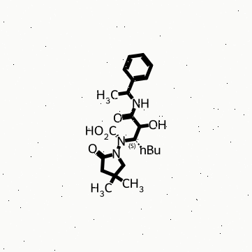 CCCC[C@@H](C(O)C(=O)NC(C)c1ccccc1)N(C(=O)O)N1CC(C)(C)CC1=O